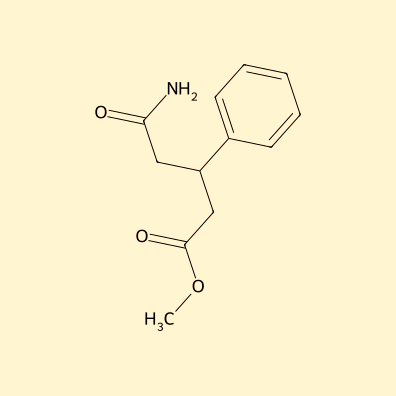 COC(=O)CC(CC(N)=O)c1ccccc1